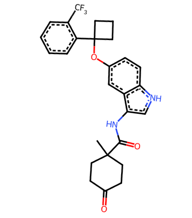 CC1(C(=O)Nc2c[nH]c3ccc(OC4(c5ccccc5C(F)(F)F)CCC4)cc23)CCC(=O)CC1